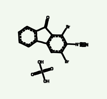 N#[N+]c1c(Br)cc2c(c1Br)C(=O)c1ccccc1-2.O=S(=O)(O)O